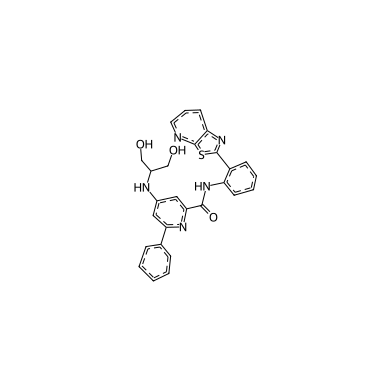 O=C(Nc1ccccc1-c1nc2cccnc2s1)c1cc(NC(CO)CO)cc(-c2ccccc2)n1